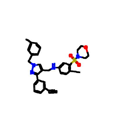 COc1cccc(-c2nn(Cc3cccc(C)c3)cc2CNc2ccc(C)c(S(=O)(=O)N3CCOCC3)c2)c1